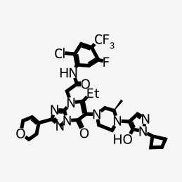 CCc1c(N2CCN(c3cnn(C4CCC4)c3O)[C@H](C)C2)c(=O)n2nc(C3=CCOCC3)nc2n1CC(=O)Nc1cc(F)c(C(F)(F)F)cc1Cl